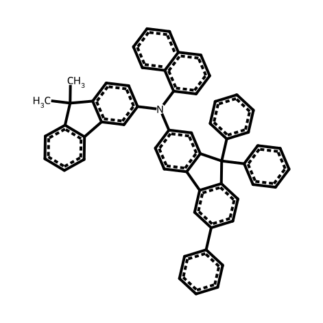 CC1(C)c2ccccc2-c2cc(N(c3ccc4c(c3)C(c3ccccc3)(c3ccccc3)c3ccc(-c5ccccc5)cc3-4)c3cccc4ccccc34)ccc21